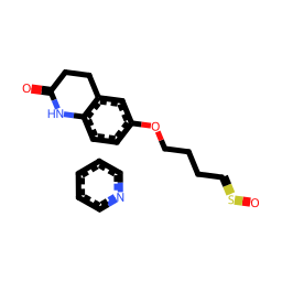 O=S=CCCCOc1ccc2c(c1)CCC(=O)N2.c1ccncc1